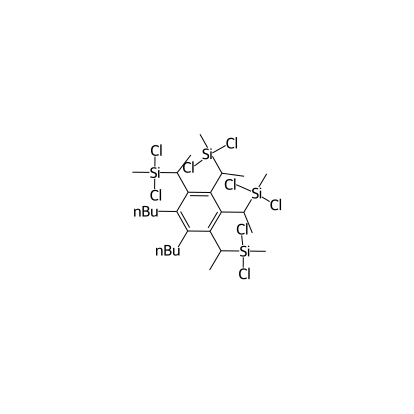 CCCCc1c(CCCC)c(C(C)[Si](C)(Cl)Cl)c(C(C)[Si](C)(Cl)Cl)c(C(C)[Si](C)(Cl)Cl)c1C(C)[Si](C)(Cl)Cl